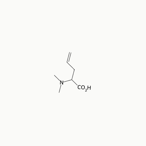 C=CCC(C(=O)O)N(C)C